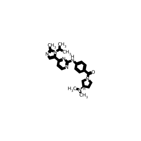 Cc1ncc(-c2ccnc(Nc3ccc(C(=O)N4CC[C@@H](N(C)C)C4)cc3)n2)n1C(C)C